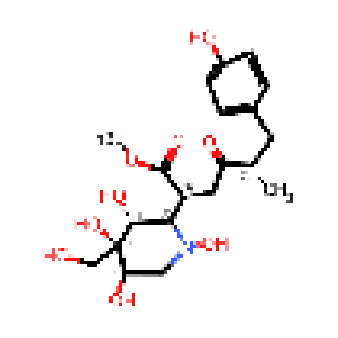 CCCCOC(=O)[C@@H](CC(=O)[C@@H](C)Cc1ccc(O)cc1)[C@@H]1[C@@H](O)[C@@](O)(CO)[C@H](O)CN1O